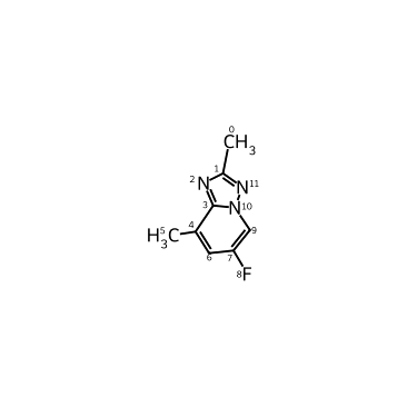 Cc1nc2c(C)cc(F)cn2n1